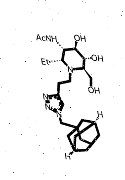 CC[C@@H]1[C@H](NC(C)=O)[C@@H](O)[C@H](O)[C@@H](CO)N1CCc1cn(CC23CC4C[C@H](C2)C[C@H](C4)C3)nn1